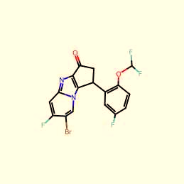 O=C1CC(c2cc(F)ccc2OC(F)F)c2c1nc1cc(F)c(Br)cn21